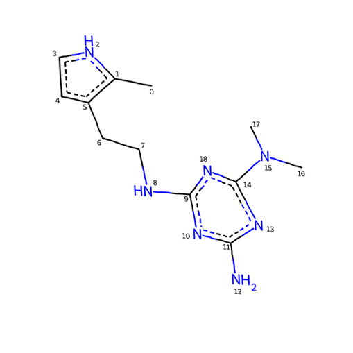 Cc1[nH]ccc1CCNc1nc(N)nc(N(C)C)n1